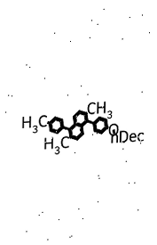 CCCCCCCCCCOc1ccc(-c2c(C)ccc3c(-c4ccc(C)cc4)c(C)ccc23)cc1